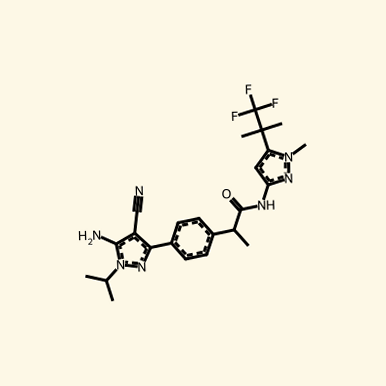 CC(C(=O)Nc1cc(C(C)(C)C(F)(F)F)n(C)n1)c1ccc(-c2nn(C(C)C)c(N)c2C#N)cc1